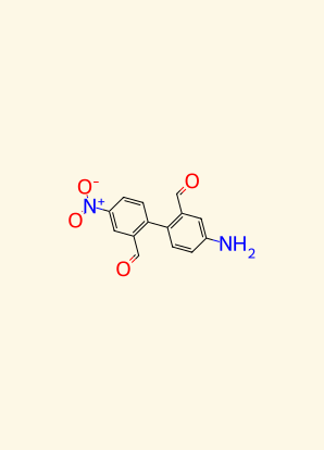 Nc1ccc(-c2ccc([N+](=O)[O-])cc2C=O)c(C=O)c1